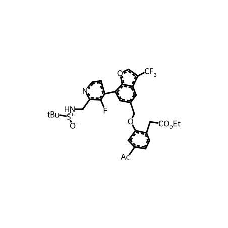 CCOC(=O)Cc1ccc(C(C)=O)cc1OCc1cc(-c2ccnc(CN[S+]([O-])C(C)(C)C)c2F)c2occ(C(F)(F)F)c2c1